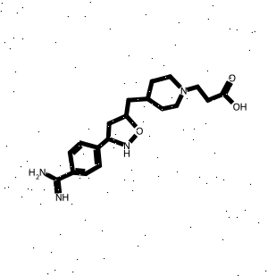 N=C(N)c1ccc(C2CC(CC3CCN(CCC(=O)O)CC3)ON2)cc1